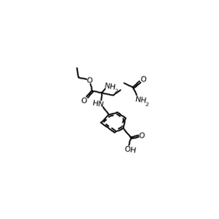 CC(N)=O.CCOC(=O)C(N)(CC)Nc1ccc(C(=O)O)cc1